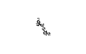 Clc1ccc2c(NCCN3CCN(c4ccnc(-n5ccnc5)n4)CC3)ccnc2c1